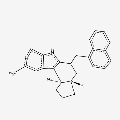 Cc1cc2c3c([nH]c2cn1)C(Cc1cccc2ccccc12)C[C@@H]1CCC[C@@H]31